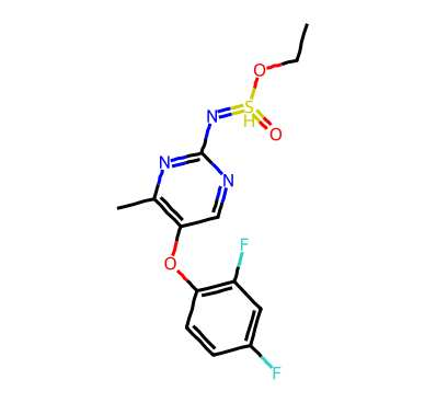 CCO[SH](=O)=Nc1ncc(Oc2ccc(F)cc2F)c(C)n1